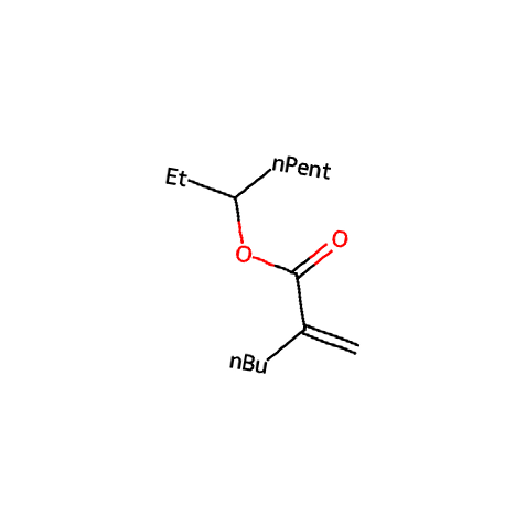 C=C(CCCC)C(=O)OC(CC)CCCCC